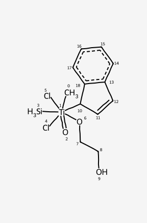 [CH3][Ti](=[O])([SiH3])([Cl])([Cl])([O]CCO)[CH]1C=Cc2ccccc21